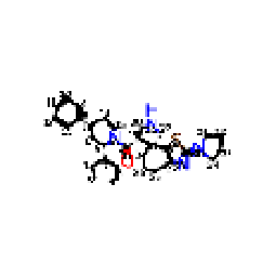 CCC(CC)[C@@H]1C[C@H](c2ccccc2)CCN1C(=O)[C@@H]1CNC[C@]12CCCc1nc(N3CCCC3)sc12